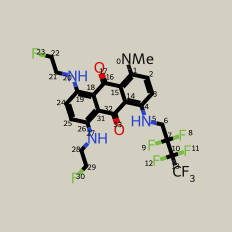 CNc1ccc(NCC(F)(F)C(F)(F)C(F)(F)F)c2c1C(=O)c1c(NCCF)ccc(NCCF)c1C2=O